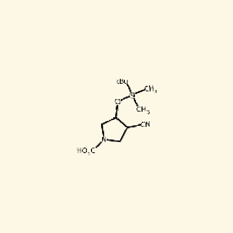 CC(C)(C)[Si](C)(C)OC1CN(C(=O)O)CC1C#N